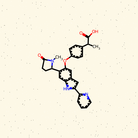 CC(C(=O)O)c1ccc(Oc2cc3cc(-c4ccccn4)[nH]c3cc2C2CCC(=O)N2C)cc1